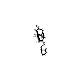 O=C1CC2CC(OCc3ccccc3)CC(C1)N2